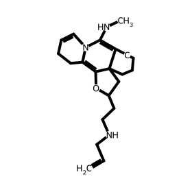 C=CCNCCC1CC23CCCCC2=C(NC)N2C=CCCC2=C3O1